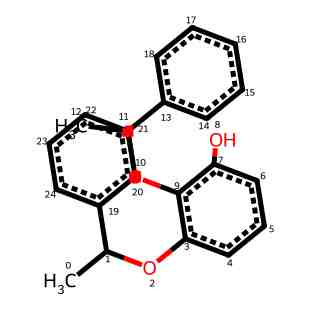 CC(Oc1cccc(O)c1OC(C)c1ccccc1)c1ccccc1